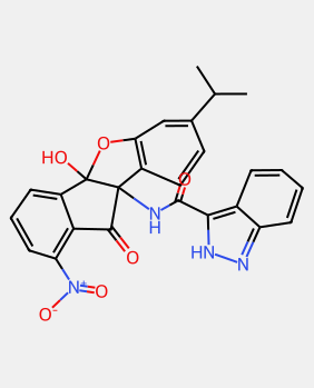 CC(C)c1ccc2c(c1)OC1(O)c3cccc([N+](=O)[O-])c3C(=O)C21NC(=O)c1[nH]nc2ccccc12